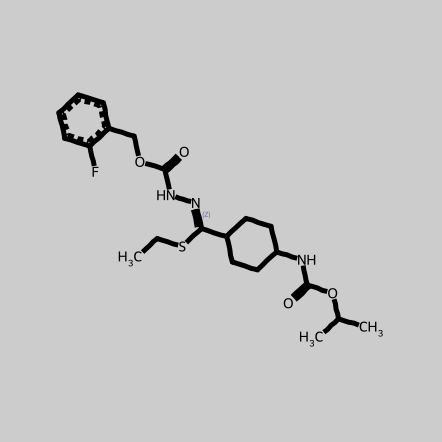 CCS/C(=N\NC(=O)OCc1ccccc1F)C1CCC(NC(=O)OC(C)C)CC1